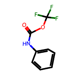 O=C(Nc1ccccc1)OC(F)(F)F